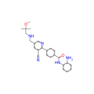 COC(C)(C)CNCc1cnc(-c2ccc(C(=O)Nc3ccccc3N)cc2)c(C#N)c1